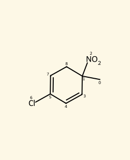 CC1([N+](=O)[O-])C=CC(Cl)=CC1